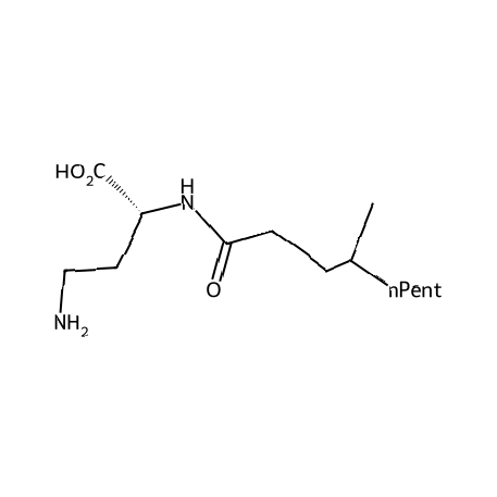 CCCCCC(C)CCC(=O)N[C@H](CCN)C(=O)O